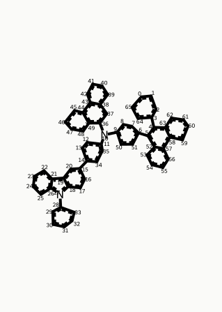 c1ccc(-c2c(-c3ccc(N(c4ccc(-c5ccc6c(c5)c5ccccc5n6-c5ccccc5)cc4)c4cc5ccccc5c5ccccc45)cc3)c3ccccc3c3ccccc23)cc1